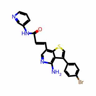 Nc1ncc(C=CC(=O)Nc2cccnc2)c2scc(-c3ccc(Br)cc3)c12